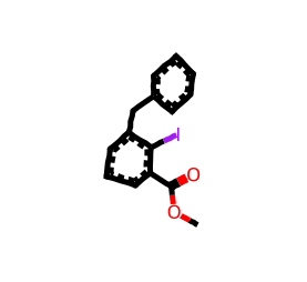 COC(=O)c1cccc(Cc2ccccc2)c1I